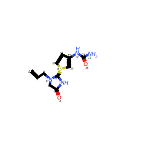 C=CCN1CC(=O)NC1=S1C=CC(NC(N)=O)=C1